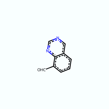 O=Cc1cccc2cncnc12